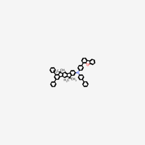 CC1(C)c2cc(N(c3ccc(-c4ccccc4)cc3)c3ccc(-c4cccc5c4oc4ccccc45)cc3)ccc2-c2cc3c(cc21)-c1cc(-c2ccccc2)cc(-c2ccccc2)c1C3(C)C